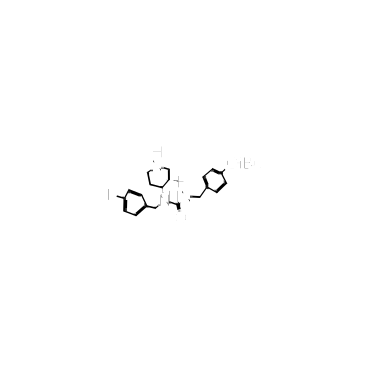 CC(C)COc1ccc(CNC(=O)N(Cc2ccc(F)cc2)[C@H]2CCNC[C@H]2F)cc1